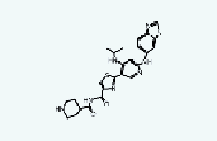 CC(C)Nc1cc(Nc2ccc3ncsc3c2)ncc1-c1nc(C(=O)NC(=O)C2CCNCC2)cs1